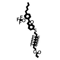 C=CC(=O)OCCC(F)(F)C(F)(F)C(F)(F)C(F)(F)CCSc1ccc2cc(-c3ccc(CCCCC)cc3OC(F)(F)F)oc2c1